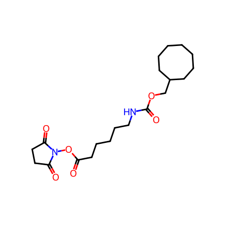 O=C(CCCCCNC(=O)OCC1CCCCCCC1)ON1C(=O)CCC1=O